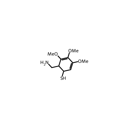 COC1=CC(S)C(CN)C(OC)=C1OC